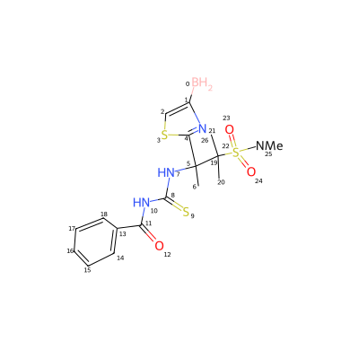 Bc1csc(C(C)(NC(=S)NC(=O)c2ccccc2)C(C)(C)S(=O)(=O)NC)n1